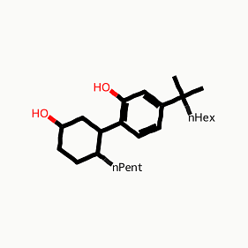 CCCCCCC(C)(C)c1ccc(C2CC(O)CCC2CCCCC)c(O)c1